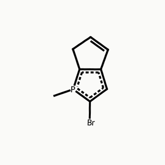 Cp1c(Br)cc2c1CC=C2